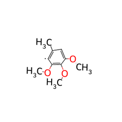 COc1[c]c(C)cc(OC)c1OC